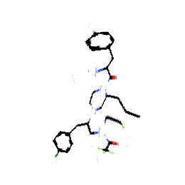 CCCC1CN(C(Cc2ccc(Cl)cc2)CN(CCF)C(=O)C(F)(F)F)CCN1C(=O)C(N)Cc1ccc(F)cc1